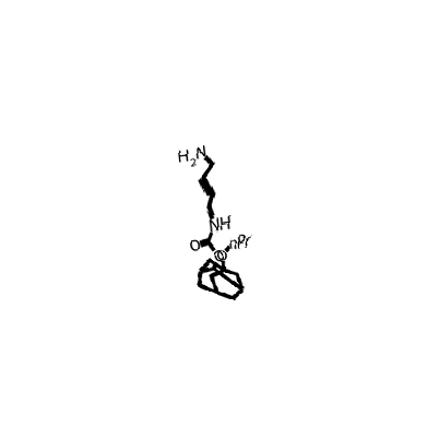 CCCOC12CC3CC(C1)C(OC(=O)NC/C=C/CN)C(C3)C2